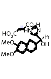 COc1cc2ccc([C@](O)(c3c[nH]cn3)C(C)C)cc2cc1OC.O=C(O)/C=C/C(=O)O